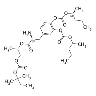 CCCC(C)OC(=O)Oc1cc(C[C@H](N)C(=O)OC(C)COC(=O)OC(C)(C)CC)ccc1OC(=O)O[C@@H](C)CCC